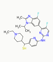 CCN1CCC(C(S)c2ccc(Nc3ncc(F)c(-c4cc(F)c5nc(C)n(C(C)C)c5c4)n3)nc2)CC1